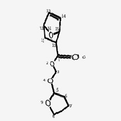 O=C(OCOC1CCCO1)C1CC2C=CC1O2